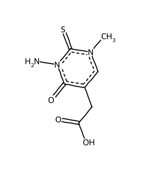 Cn1cc(CC(=O)O)c(=O)n(N)c1=S